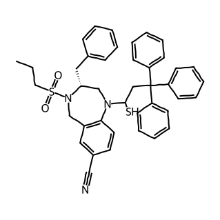 CCCS(=O)(=O)N1Cc2cc(C#N)ccc2N(C(S)CC(c2ccccc2)(c2ccccc2)c2ccccc2)C[C@H]1Cc1ccccc1